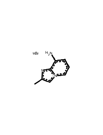 Br.Cc1cn2cccc(N)c2n1